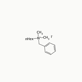 CCCCCC[N+](C)(C)Cc1ccccc1.[I-]